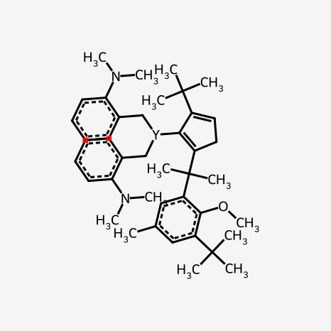 COc1c(C(C)(C)C)cc(C)cc1C(C)(C)C1=[C]([Y]([CH2]c2ccccc2N(C)C)[CH2]c2ccccc2N(C)C)C(C(C)(C)C)=CC1